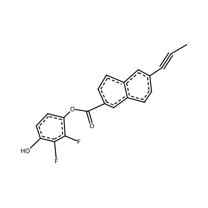 CC#Cc1ccc2cc(C(=O)Oc3ccc(O)c(F)c3F)ccc2c1